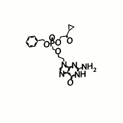 Nc1nc2c(ncn2CCOCP(=O)(OCC(=O)C2CC2)OCc2ccccc2)c(=O)[nH]1